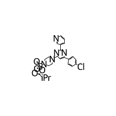 CC(C)C(=O)OS(=O)(=O)N1CCN(c2cc(-c3ccc(Cl)cc3)nc(-c3cccnc3)n2)CC1